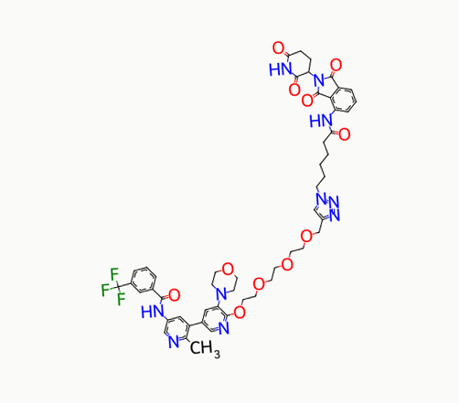 Cc1ncc(NC(=O)c2cccc(C(F)(F)F)c2)cc1-c1cnc(OCCOCCOCCOCc2cn(CCCCCC(=O)Nc3cccc4c3C(=O)N(C3CCC(=O)NC3=O)C4=O)nn2)c(N2CCOCC2)c1